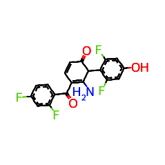 NC1=C(C(=O)c2ccc(F)cc2F)C=CC(=O)C1c1c(F)cc(O)cc1F